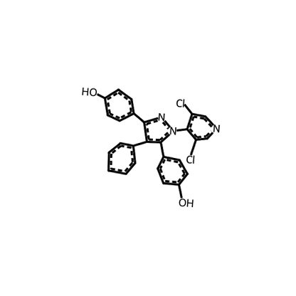 Oc1ccc(-c2nn(-c3c(Cl)cncc3Cl)c(-c3ccc(O)cc3)c2-c2ccccc2)cc1